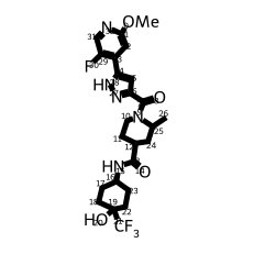 COc1cc(-c2cc(C(=O)N3CCC(C(=O)NC4CCC(O)(C(F)(F)F)CC4)CC3C)n[nH]2)c(F)cn1